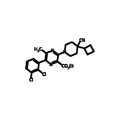 CCOC(=O)c1nc(-c2cccc(Cl)c2Cl)c(C)nc1N1CCC(C#N)(C2CCC2)CC1